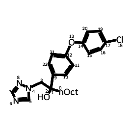 CCCCCCCCC(O)(Cn1cncn1)c1ccc(Oc2ccc(Cl)cc2)cc1